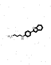 CCCCNc1ccc(-c2cc3ccccc3o2)cc1